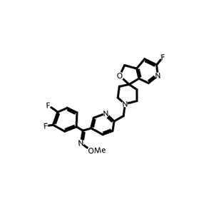 CO/N=C(\c1ccc(CN2CCC3(CC2)OCc2cc(F)ncc23)nc1)c1ccc(F)c(F)c1